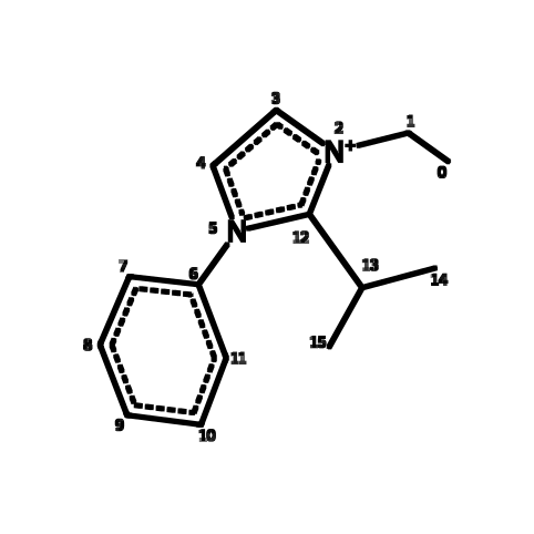 CC[n+]1ccn(-c2ccccc2)c1C(C)C